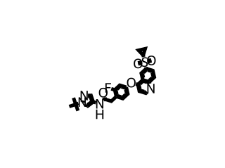 CC(C)(C)n1cc(NC(=O)Cc2ccc(Oc3ccnc4ccc(S(=O)(=O)C5CC5)cc34)cc2F)cn1